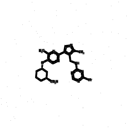 Cc1nc(-c2cnn(C)c2CNc2ncnc(C(C)C)n2)ncc1O[C@H]1CCC[C@H](C(=O)O)C1